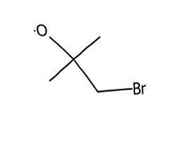 CC(C)([O])CBr